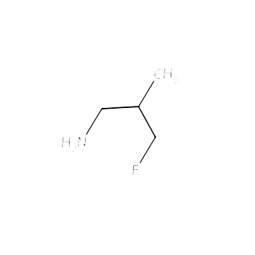 CC(CN)CF